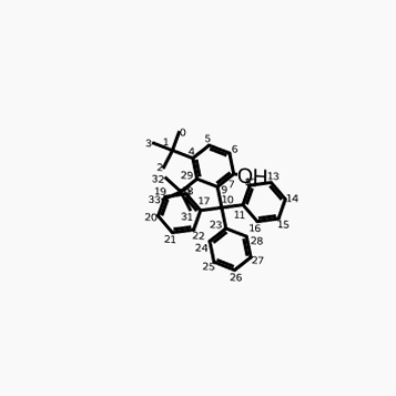 CC(C)(C)c1ccc(O)c(C(c2ccccc2)(c2ccccc2)c2ccccc2)c1C(C)(C)C